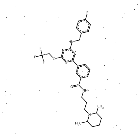 CC1CCCC(C)N1CCCNC(=O)c1cccc(-c2nc(NCc3ccc(F)cc3)nc(OCC(F)(F)F)n2)c1